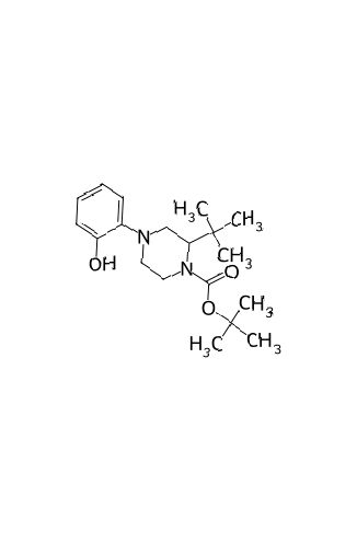 CC(C)(C)OC(=O)N1CCN(c2ccccc2O)CC1C(C)(C)C